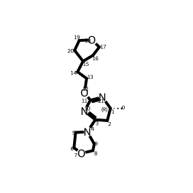 C[C@@H]1CC(N2CCOCC2)=NC(OCCC2CCOCC2)=N1